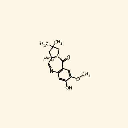 COc1cc2c(cc1O)N=C[C@@H]1CC(C)(C)CN1C2=O